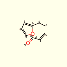 C=CC=O.CCc1ccco1